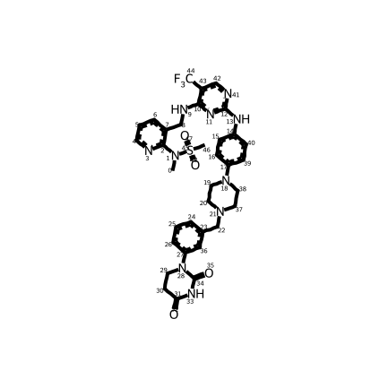 CN(c1ncccc1CNc1nc(Nc2ccc(N3CCN(Cc4cccc(N5CCC(=O)NC5=O)c4)CC3)cc2)ncc1C(F)(F)F)S(C)(=O)=O